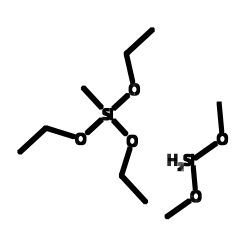 CCO[Si](C)(OCC)OCC.CO[SiH2]OC